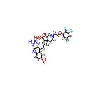 COc1ccc2ncc(CN)c(CCCC3(CC(=O)O)CCN(CCOc4cc(F)cc(F)c4F)CC3)c2c1